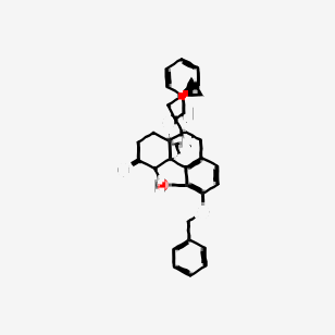 O=C1CC[C@@]2(OCc3ccccc3)[C@H]3Cc4ccc(OCc5ccccc5)c5c4[C@@]2(CCN3CC2CC2)[C@H]1O5